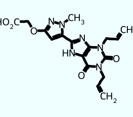 C=CCn1c(=O)c2[nH]c(-c3cc(OCC(=O)O)nn3C)nc2n(CC=C)c1=O